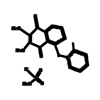 COC1=C(OC)C(=O)c2c(S[n+]3ccccc3C)cccc2C1=O.COS(=O)(=O)[O-]